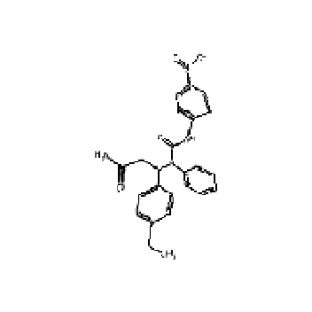 CCc1ccc(C(CC(N)=O)N(C(=O)Nc2ccc([N+](=O)[O-])cc2)c2ccccc2)cc1